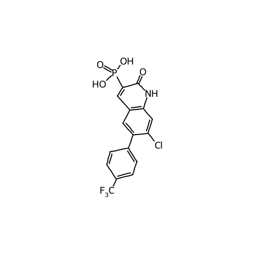 O=c1[nH]c2cc(Cl)c(-c3ccc(C(F)(F)F)cc3)cc2cc1P(=O)(O)O